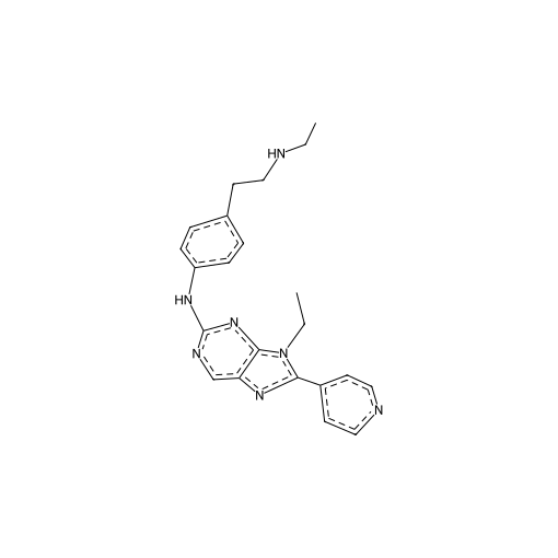 CCNCCc1ccc(Nc2ncc3nc(-c4ccncc4)n(CC)c3n2)cc1